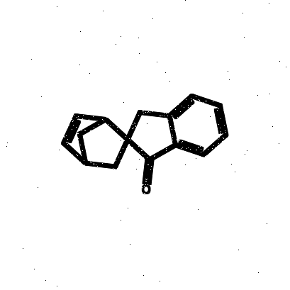 O=C1c2ccccc2CC12CC1C=CC2C1